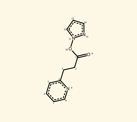 O=C(CCc1ccccn1)On1cccn1